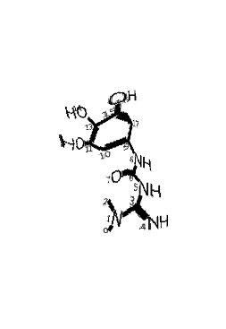 CN(C)C(=N)NC(=O)Nc1cc(O)c(O)c(O)c1